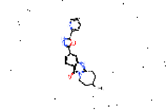 CC1CCc2nc3cc(-c4nnc(-c5ccccn5)o4)ccc3c(=O)n2CC1